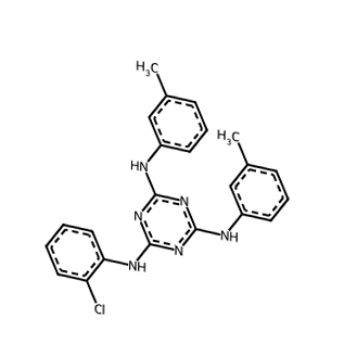 Cc1cccc(Nc2nc(Nc3cccc(C)c3)nc(Nc3ccccc3Cl)n2)c1